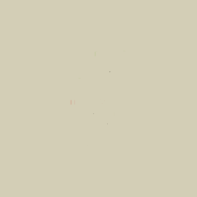 OC(F)(OC(F)C(F)(F)F)C(F)(F)Cl